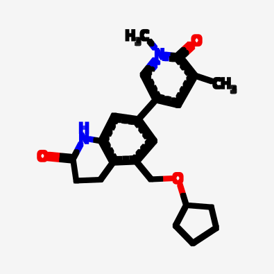 Cc1cc(-c2cc(COC3CCCC3)c3c(c2)NC(=O)CC3)cn(C)c1=O